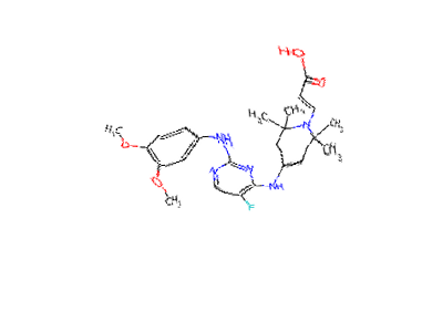 COc1ccc(Nc2ncc(F)c(NC3CC(C)(C)N(C=CC(=O)O)C(C)(C)C3)n2)cc1OC